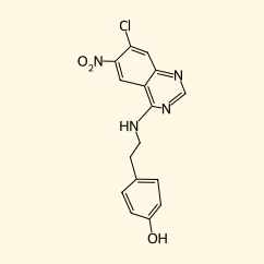 O=[N+]([O-])c1cc2c(NCCc3ccc(O)cc3)ncnc2cc1Cl